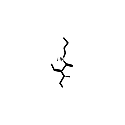 C=C(NCCCC)/C(=C\C)[C@@H](C)CC